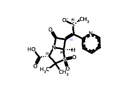 C[S@+]([O-])/C(=C1\C(=O)N2[C@@H](C(=O)O)C(C)(C)S(=O)(=O)[C@H]12)c1ccccn1